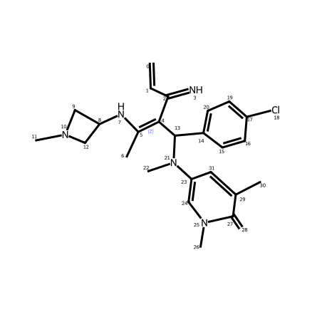 C=CC(=N)/C(=C(/C)NC1CN(C)C1)C(c1ccc(Cl)cc1)N(C)C1=CN(C)C(=C)C(C)=C1